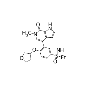 CCS(=N)(=O)c1ccc(OC2CCOC2)c(-c2cn(C)c(=O)c3[nH]ccc23)c1